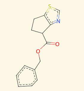 O=C(OCc1ccccc1)C1CCc2scnc21